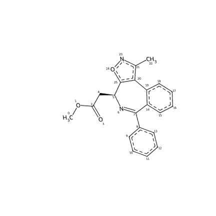 COC(=O)C[C@@H]1N=C(c2ccccc2)c2ccccc2-c2c(C)noc21